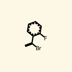 C=C(Br)c1ccccc1F